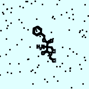 NC(CCl)(C(=O)OCCl)C(=O)OCc1ccccc1